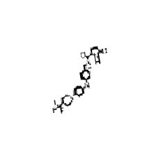 O=C1CCC(C(=O)NCc2ccc(Nc3ccc(N4CCC(C(F)(F)F)CC4)cc3)cc2)N1